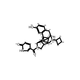 O=C(c1ccc(=O)[nH]c1)N1CC2CC34CCC1C2C31CCN(C2CCC2)[C@@H]4Cc2ccc(O)cc21